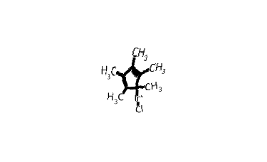 CC1=C(C)[C](C)([Ir+][Cl])C(C)=C1C